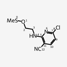 CSOCCNc1nc(Cl)ccc1C#N